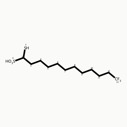 O=S(=O)(O)C(S)CCCCCCCCCCC(F)(F)F